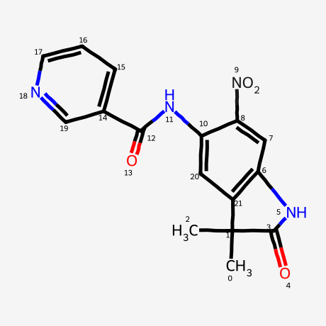 CC1(C)C(=O)Nc2cc([N+](=O)[O-])c(NC(=O)c3cccnc3)cc21